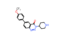 O=c1c2cc(-c3ccc(OC(F)(F)F)cc3)ccc2nnn1C1CCNCC1